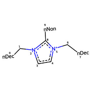 CCCCCCCCCCCn1cc[n+](CCCCCCCCCCC)c1CCCCCCCCC